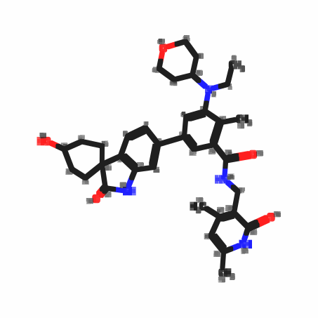 CCN(c1cc(-c2ccc3c(c2)NC(=O)C32CCC(O)CC2)cc(C(=O)NCc2c(C)cc(C)[nH]c2=O)c1C)C1CCOCC1